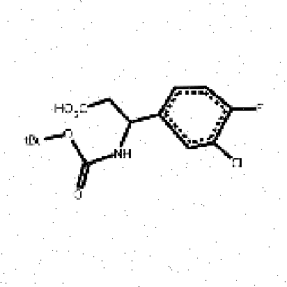 CC(C)(C)OC(=O)NC(CC(=O)O)c1ccc(F)c(Cl)c1